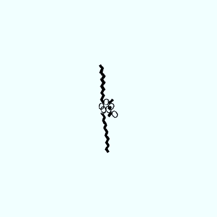 CC(=O)OOC(C)=O.CCCCCCCCCCCCOOCCCCCCCCCCCC